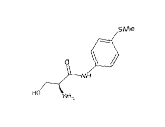 CSc1ccc(NC(=O)[C@@H](N)CO)cc1